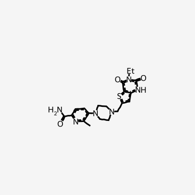 CCn1c(=O)[nH]c2cc(CN3CCN(c4ccc(C(N)=O)nc4C)CC3)sc2c1=O